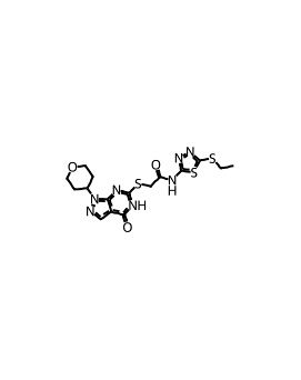 CCSc1nnc(NC(=O)CSc2nc3c(cnn3C3CCOCC3)c(=O)[nH]2)s1